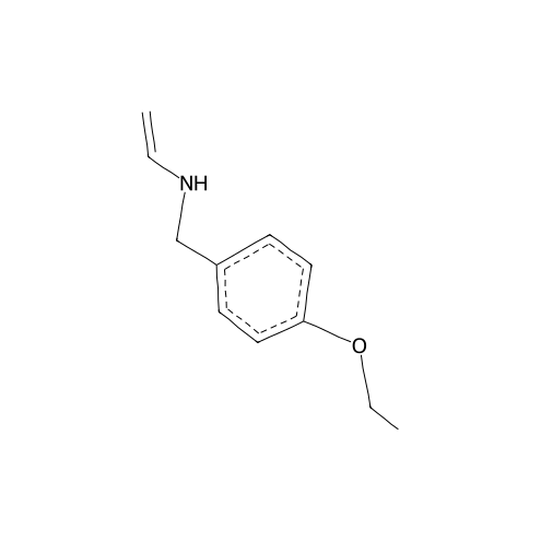 C=CNCc1ccc(OCC)cc1